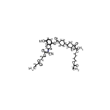 C=CC(=O)OCCCCOC(C)(CC)C(=O)C1CCC(C2CCC(C(=O)Oc3ccc(O)c4c3S/C(=C(\C#N)C(=O)OCCOC(=O)C=C)S4)CC2)CC1